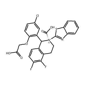 O=C(O)COc1ccc(Cl)cc1C1c2ccc(F)c(F)c2CC[N@+]1(C(=O)O)c1nc2ccccc2s1